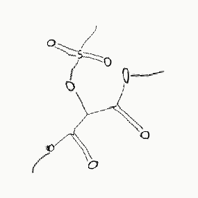 COC(=O)C(OS(C)(=O)=O)C(=O)OC